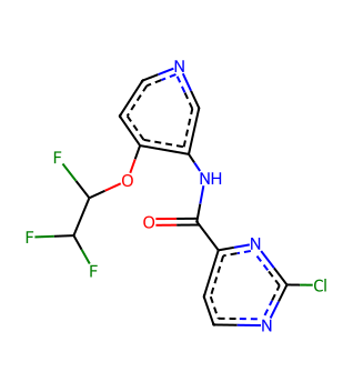 O=C(Nc1cnccc1OC(F)C(F)F)c1ccnc(Cl)n1